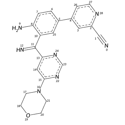 N#Cc1cc(-c2ccc(N)c(C(=N)c3cc(N4CCOCC4)ncn3)c2)ccn1